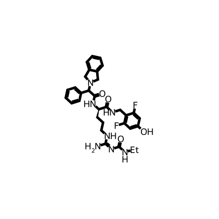 CCNC(=O)/N=C(/N)NCCC[C@@H](NC(=O)C(c1ccccc1)N1Cc2ccccc2C1)C(=O)NCc1c(F)cc(O)cc1F